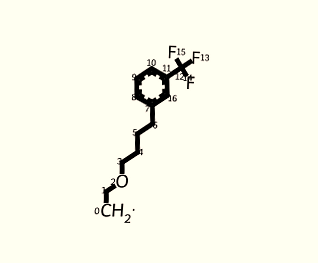 [CH2]COCCCCc1cccc(C(F)(F)F)c1